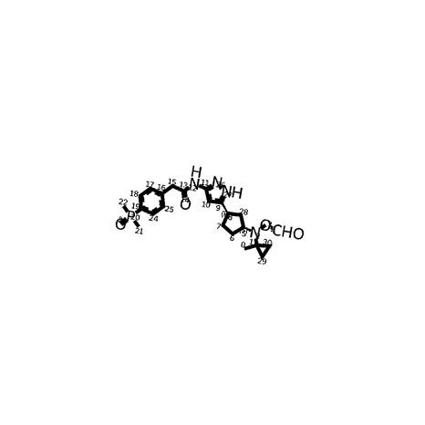 CC1(N(OC=O)[C@H]2CC[C@@H](c3cc(NC(=O)Cc4ccc(P(C)(C)=O)cc4)n[nH]3)C2)CC1